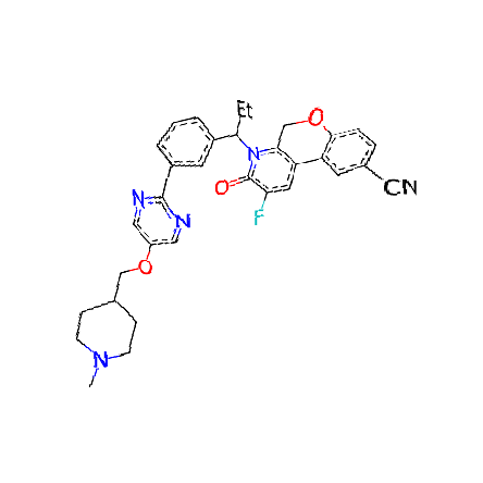 CCC(c1cccc(-c2ncc(OCC3CCN(C)CC3)cn2)c1)n1c2c(cc(F)c1=O)-c1cc(C#N)ccc1OC2